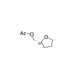 CC(=O)OC[C@H]1[CH]C[CH]O1